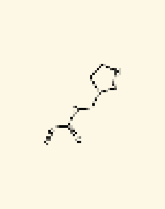 C=CC(=O)OCN1C=NCC1